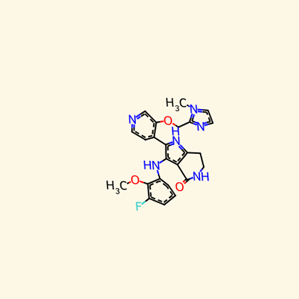 COc1c(F)cccc1Nc1c(-c2ccncc2OCc2nccn2C)[nH]c2c1C(=O)NCC2